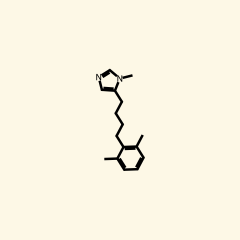 Cc1cccc(C)c1CCCCc1cncn1C